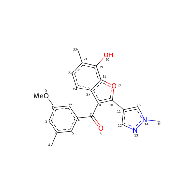 COc1cc(C)cc(C(=O)c2c(-c3cnn(C)c3)oc3c(O)c(C)ccc23)c1